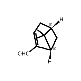 CC1(C)[C@@H]2CC=C(C=O)[C@H]1C2